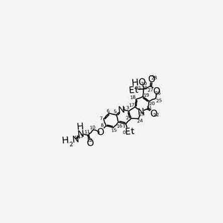 CCc1c2c(nc3ccc(OCC(=O)NN)cc13)-c1cc3c(c(=O)n1C2)COC(=O)C3(O)CC